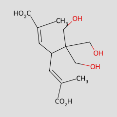 CC(=CC(C=C(C)C(=O)O)C(CO)(CO)CO)C(=O)O